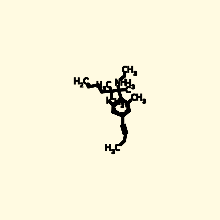 C=CCCC(C)(C)C(C)(NCC)c1c(C)cc(C#CCC)cc1I